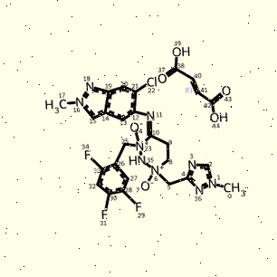 Cn1cnc(C[N+]2([O-])CCC(=Nc3cc4cn(C)nc4cc3Cl)[N+]([O-])(Cc3cc(F)c(F)cc3F)N2)n1.O=C(O)/C=C/C(=O)O